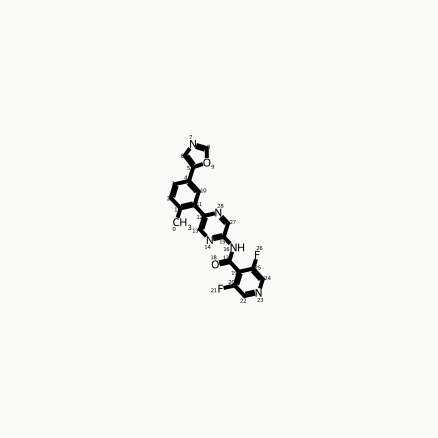 Cc1ccc(-c2cnco2)cc1-c1cnc(NC(=O)c2c(F)cncc2F)cn1